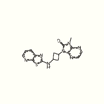 Cn1c(=O)n(C2CC(Nc3nc4cccnc4s3)C2)c2nccnc21